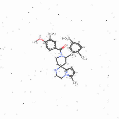 COc1cc(C(=O)N2CCC3(CC2C)NCCn2c(C(F)(F)F)ccc23)ccc1OC(C)C.Cc1ccc(S(=O)(=O)O)cc1